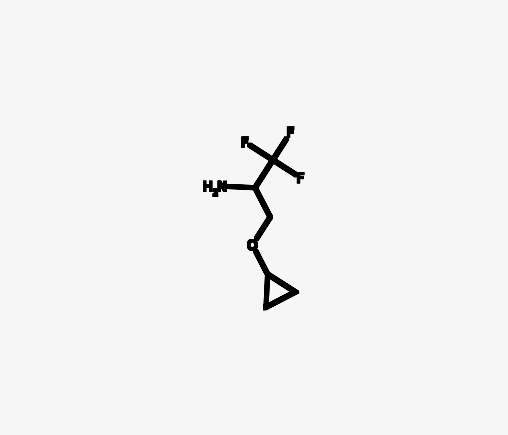 NC(COC1CC1)C(F)(F)F